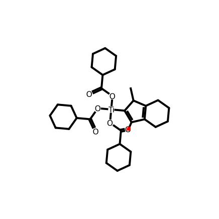 CC1=[C]([Ti]([O]C(=O)C2CCCCC2)([O]C(=O)C2CCCCC2)[O]C(=O)C2CCCCC2)C(C)C2=C1CCCC2